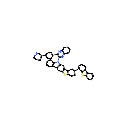 c1cncc(-c2ccc(-c3nc4ccccc4nc3-n3c4ccccc4c4cc5sc6ccc(-c7cccc8c7sc7ccccc78)cc6c5cc43)cc2)c1